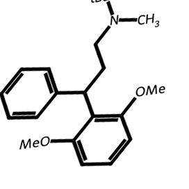 COc1cccc(OC)c1C(CCN(C)C(C)(C)C)c1ccccc1